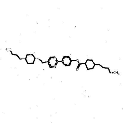 CCCCCC1CCC(C(=O)Oc2ccc(-c3ncc(CC[C@H]4CC[C@H](CCCC)CC4)cn3)cc2)CC1